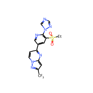 CCS(=O)(=O)c1cc(-c2ccn3nc(C(F)(F)F)cc3n2)cnc1-n1cncn1